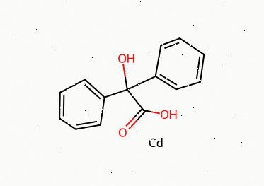 O=C(O)C(O)(c1ccccc1)c1ccccc1.[Cd]